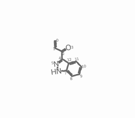 C=CC(=O)c1n[nH]c2ccccc12